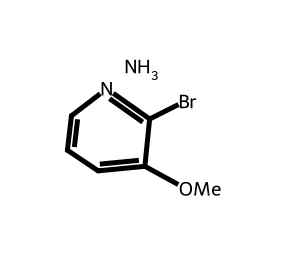 COc1cccnc1Br.N